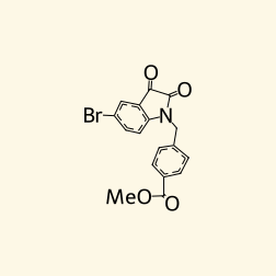 COC(=O)c1ccc(CN2C(=O)C(=O)c3cc(Br)ccc32)cc1